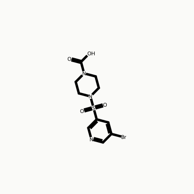 O=C(O)N1CCN(S(=O)(=O)c2cncc(Br)c2)CC1